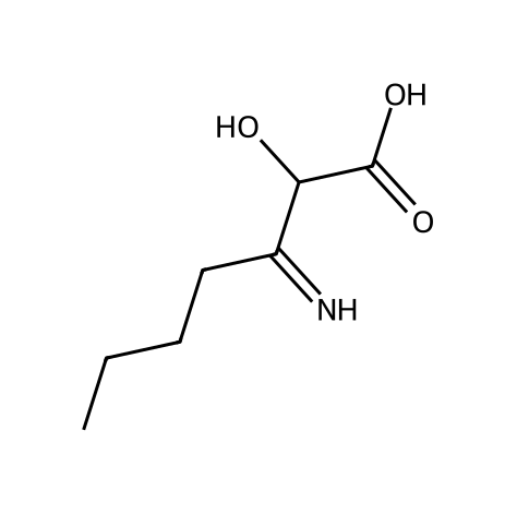 CCCCC(=N)C(O)C(=O)O